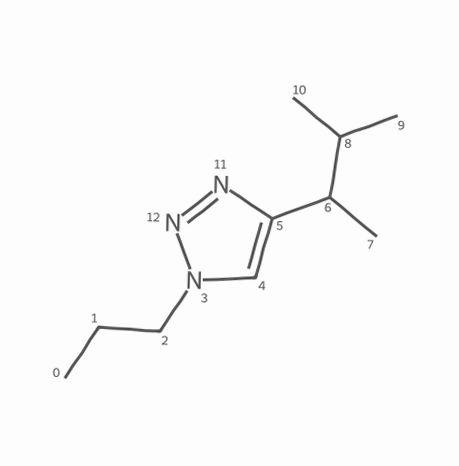 CCCn1cc(C(C)C(C)C)nn1